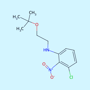 CC(C)(C)OCCNc1cccc(Cl)c1[N+](=O)[O-]